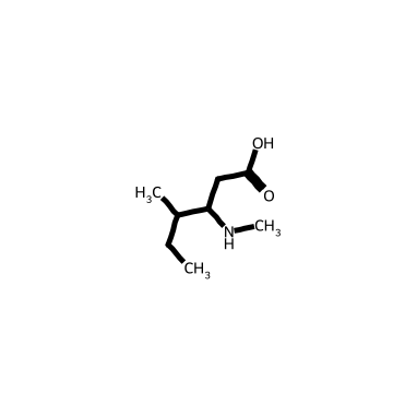 CCC(C)C(CC(=O)O)NC